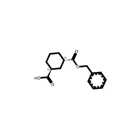 O=C(O)[C@H]1CCC[C@H](C(=O)OCc2ccccc2)C1